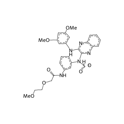 COCCOCC(=O)Nc1cccc(N(c2nc3ccccc3nc2Nc2cc(OC)cc(OC)c2)[SH](=O)=O)c1